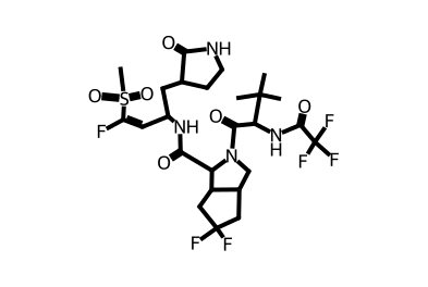 CC(C)(C)C(NC(=O)C(F)(F)F)C(=O)N1CC2CC(F)(F)CC2C1C(=O)NC(C=C(F)S(C)(=O)=O)CC1CCNC1=O